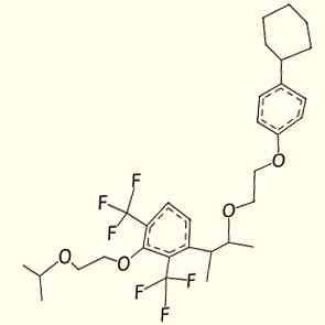 CC(C)OCCOc1c(C(F)(F)F)ccc(C(C)C(C)OCCOc2ccc(C3CCCCC3)cc2)c1C(F)(F)F